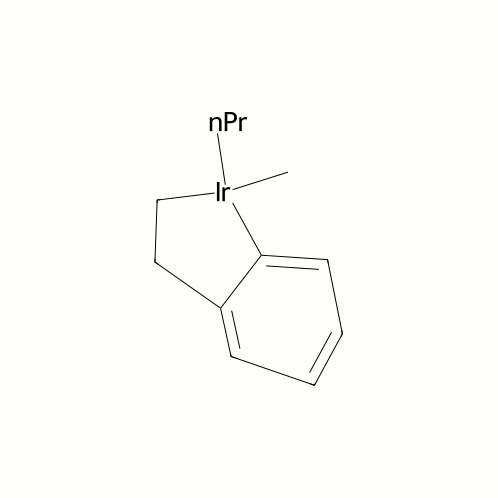 CC[CH2][Ir]1([CH3])[CH2]Cc2cccc[c]21